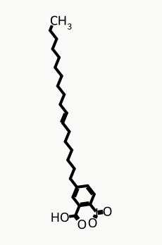 CCCCCCCCCCC=CCCCCCCc1ccc(I(=O)=O)c(C(=O)O)c1